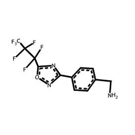 NCc1ccc(-c2noc(C(F)(F)C(F)(F)C(F)(F)F)n2)cc1